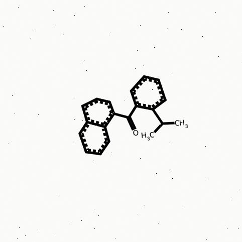 CC(C)c1ccccc1C(=O)c1cccc2ccccc12